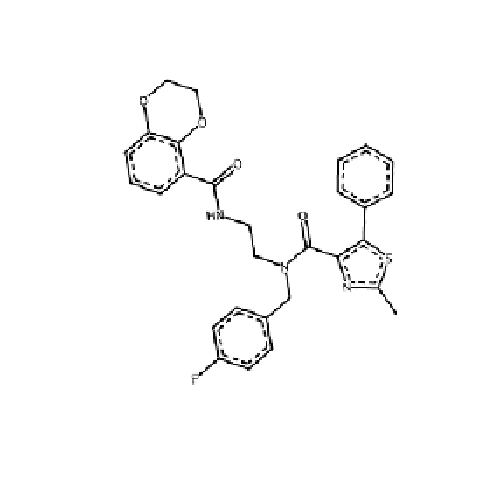 Cc1nc(C(=O)N(CCNC(=O)c2cccc3c2OCCO3)Cc2ccc(F)cc2)c(-c2ccccc2)s1